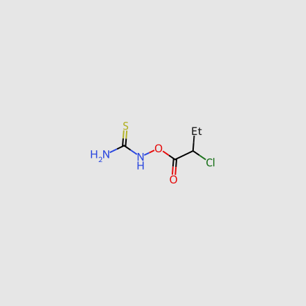 CCC(Cl)C(=O)ONC(N)=S